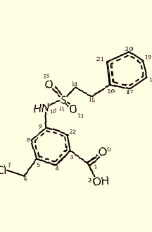 O=C(O)c1cc(CCl)cc(NS(=O)(=O)CCc2ccccc2)c1